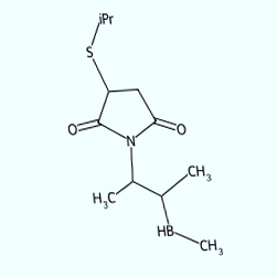 CBC(C)C(C)N1C(=O)CC(SC(C)C)C1=O